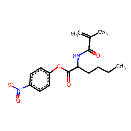 C=C(C)C(=O)NC(CCCC)C(=O)Oc1ccc([N+](=O)[O-])cc1